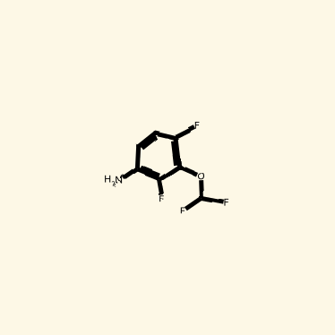 Nc1ccc(F)c(OC(F)F)c1F